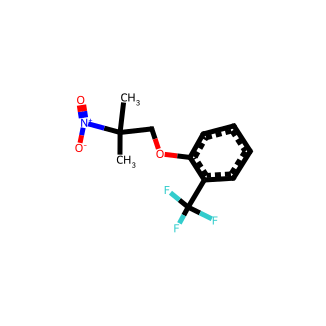 CC(C)(COc1ccccc1C(F)(F)F)[N+](=O)[O-]